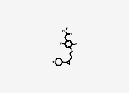 CNC(=O)Cc1cc(F)c(OCCC2CC2C2CCNCC2)cc1F